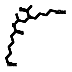 CCCCCCCCCCCCCCCC(=S)OC(C)CN(CCCCCCCCCCCCCC)C(C)=S